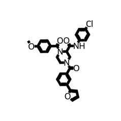 COc1ccc(C(=O)N2CCN(C(=O)c3cccc(-c4ccco4)c3)CC2C(=O)Nc2ccc(Cl)cc2)cc1